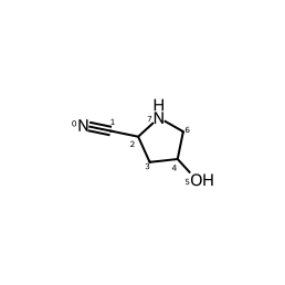 N#CC1CC(O)CN1